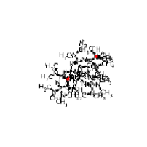 CN(C)P(=NP(=S)(N=P(N=P(N(C)C)(N(C)C)N(C)C)(N(C)C)N(C)C)N=P(N=P(N(C)C)(N(C)C)N(C)C)(N(C)C)N(C)C)(N=P(N(C)C)(N(C)C)N(C)C)N(C)C